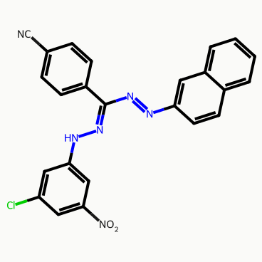 N#Cc1ccc(C(N=Nc2ccc3ccccc3c2)=NNc2cc(Cl)cc([N+](=O)[O-])c2)cc1